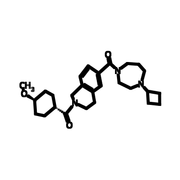 CO[C@H]1CC[C@H](C(=O)N2CCc3cc(C(=O)N4CCCN(C5CCC5)CC4)ccc3C2)CC1